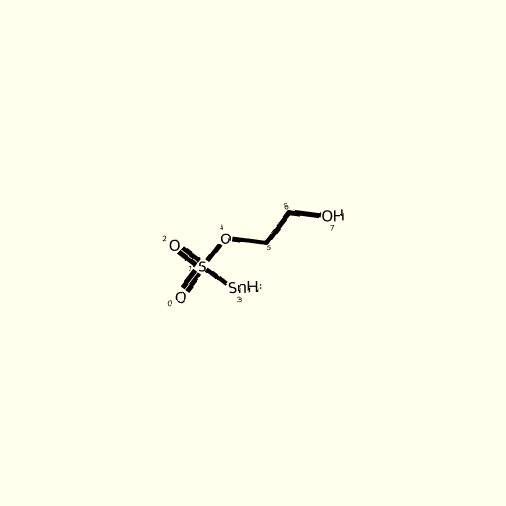 O=[S](=O)([SnH])OCCO